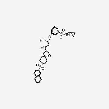 O=S(=O)(NCC1CC1)c1cccc(OCC(O)CNC2COC3(CCN(S(=O)(=O)c4ccc5ccccc5c4)CC3)C2)c1